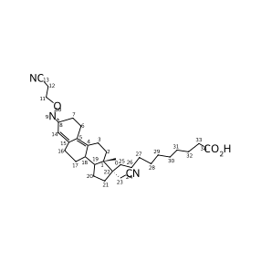 C[C@]12CCC3=C4CCC(=NOCCC#N)C=C4CCC3C1CC[C@]2(CC#N)CCCCCCCCCC(=O)O